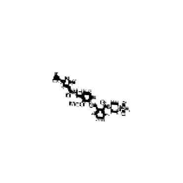 COc1c(CNC(=O)c2cc(C3CC3)nn2C)cccc1OCc1ccccc1C(=O)N1CCN(S(C)(=O)=O)CC1